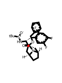 CC(C)(C)[S+]([O-])N[C@H](Cc1cc(F)c(F)cc1F)[C@@H]1C[C@H]2CC[C@@H](C1)N2C(=O)OCc1ccccc1